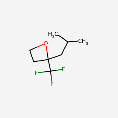 CC(C)CC1(C(F)(F)F)CCO1